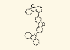 C1=Cc2c(c3ccccc3n2-c2ccc3oc4cc(-c5cccc6oc7ccccc7c56)ccc4c3c2)CC1